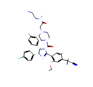 CCOc1cc(C(C)(C)C#N)c(Cl)cc1C1=N[C@@H](c2ccc(Cl)cc2)[C@@H](c2ccc(Cl)cc2)N1C(=O)N1CCN(CC(=O)N(C)CCN)CC1